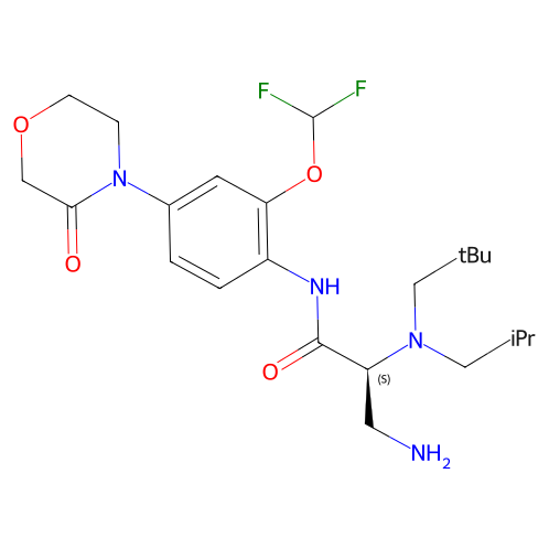 CC(C)CN(CC(C)(C)C)[C@@H](CN)C(=O)Nc1ccc(N2CCOCC2=O)cc1OC(F)F